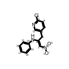 O=[N+]([O-])C=C(Cc1ccc(Cl)nc1)Nc1ccccc1